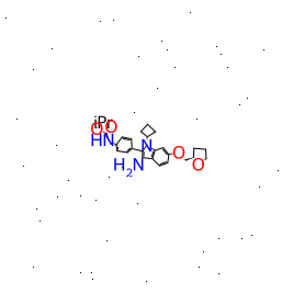 CC(C)OC(=O)Nc1ccc(-c2c(N)c3ccc(OC[C@H]4CCCO4)cc3n2C2CCC2)cc1